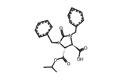 CC(C)OC(=O)[C@H]1[C@H](C(=O)O)N(Cc2ccccc2)C(=O)N1Cc1ccccc1